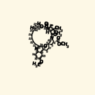 COC(=O)[C@@H]1C[C@]23CCc4c(c(nc5ccc(OC)cc45)CCCCC[C@@H]4C[C@H]4OC(=O)N[C@@H](C(C)(C)C)C(=O)N1C2)O3